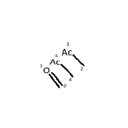 C=O.CC(C)=O.CC(C)=O